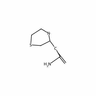 C=C(N)CC1CSCC[N]1